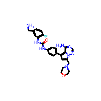 NCc1ccc(F)c(NC(=O)Nc2ccc(-c3cc(CN4CCOCC4)n4ncnc(N)c34)cc2)c1